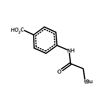 CC(C)(C)CC(=O)Nc1ccc(C(=O)O)cc1